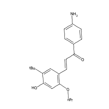 CCCOc1cc(O)c(C(C)(C)C)cc1C=CC(=O)c1ccc(N)cc1